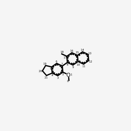 COc1cc2c(cc1-c1cc3ccccc3cc1C)CCC2